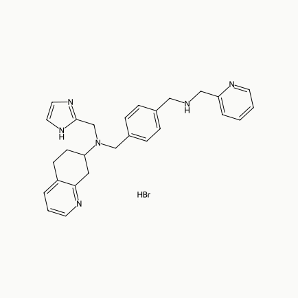 Br.c1ccc(CNCc2ccc(CN(Cc3ncc[nH]3)C3CCc4cccnc4C3)cc2)nc1